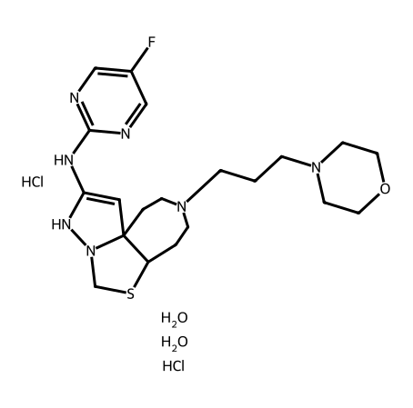 Cl.Cl.Fc1cnc(NC2=CC34CCN(CCCN5CCOCC5)CCC3SCN4N2)nc1.O.O